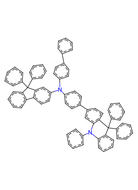 c1ccc(-c2ccc(N(c3ccc(-c4ccc5c(c4)N(c4ccccc4)c4ccccc4C5(c4ccccc4)c4ccccc4)cc3)c3ccc4c(c3)C(c3ccccc3)(c3ccccc3)c3ccccc3-4)cc2)cc1